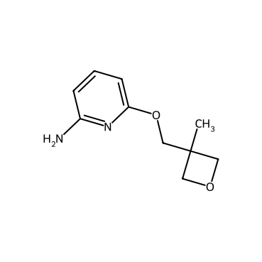 CC1(COc2cccc(N)n2)COC1